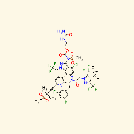 CC(C)(C#Cc1ccc(-c2ccc(Cl)c3c(N(C(=O)OCCNC(N)=O)S(C)(=O)=O)nn(CC(F)(F)F)c23)c([C@H](Cc2cc(F)cc(F)c2)NC(=O)Cn2nc(C(F)(F)F)c3c2C(F)(F)[C@@H]2C[C@H]32)n1)S(C)(=O)=O